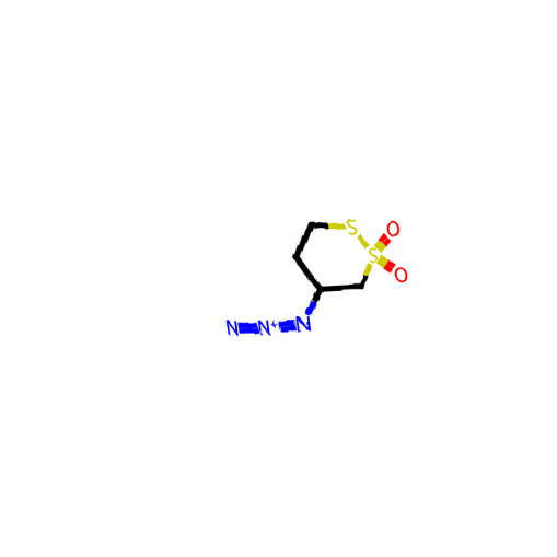 [N-]=[N+]=NC1CCSS(=O)(=O)C1